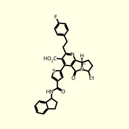 CCC1CC[C@H]2c3nc(CCc4ccc(F)cc4)c(C(=O)O)c(-c4cc(C(=O)NC5CCc6ccccc65)cs4)c3C(=O)N12